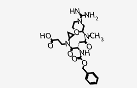 CN(C(=O)C[C@H](NC(=O)OCc1ccccc1)C(=O)N(CCC(=O)O)C1CC1)C1CN(C(=N)N)CCO1